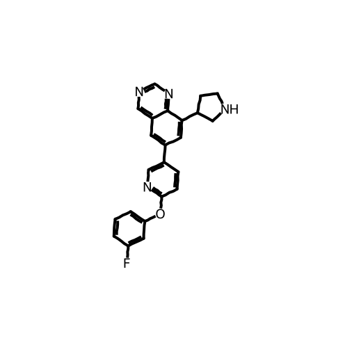 Fc1cccc(Oc2ccc(-c3cc(C4CCNC4)c4ncncc4c3)cn2)c1